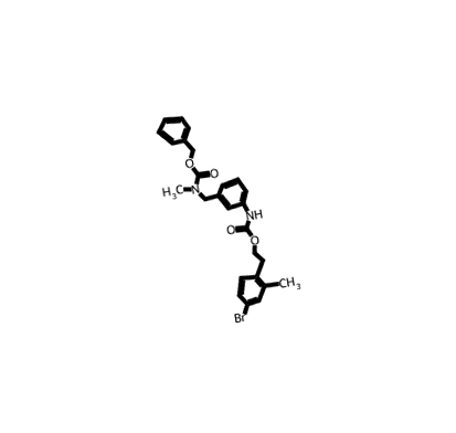 Cc1cc(Br)ccc1CCOC(=O)Nc1cccc(CN(C)C(=O)OCc2ccccc2)c1